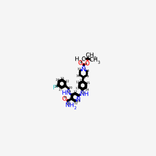 CC(C)(C)OC(=O)N1CCC(c2ccc(Nc3cc(NCc4cccc(F)c4)c(C(N)=O)cn3)cc2)CC1